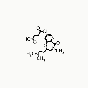 CN(C)CCC1CN(C)C(=O)c2ncccc2O1.O=C(O)/C=C/C(=O)O